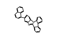 c1ccc2c(-c3ccc4c(c3)nc3c5ccccc5c5ccccc5n43)cccc2c1